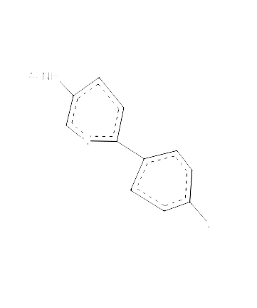 CC(=O)Nc1ccc(-c2ccc(C)cc2)nc1